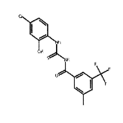 Cc1cc(C(=O)NC(=S)Nc2ccc(Cl)cc2O)cc(C(F)(F)F)c1